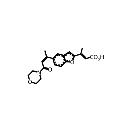 C/C(=C/C(=O)N1CCOCC1)c1ccc2oc(/C(C)=C/C(=O)O)cc2c1